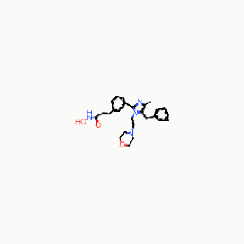 Cc1nc(-c2cccc(C=CC(=O)NO)c2)n(CCN2CCOCC2)c1Cc1ccccc1